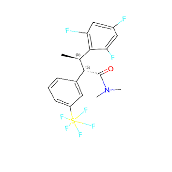 C[C@@H](c1c(F)cc(F)cc1F)[C@H](C(=O)N(C)C)c1cccc(S(F)(F)(F)(F)F)c1